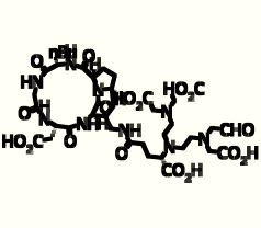 CCCC[C@@H]1NC(=O)[C@@H]2CC[C@H]3C[C@@H](CNC(=O)CC[C@@H](C(=O)O)N(CCN(CC=O)CC(=O)O)CCN(CC(=O)O)CC(=O)O)[C@@H](NC(=O)[C@H](CC(=O)O)NC(=O)CNC1=O)C(=O)N32